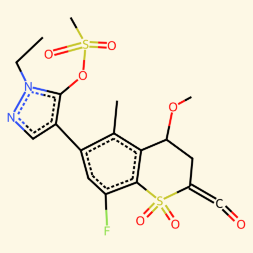 CCn1ncc(-c2cc(F)c3c(c2C)C(OC)CC(=C=O)S3(=O)=O)c1OS(C)(=O)=O